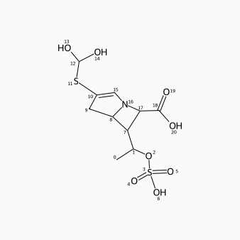 CC(OS(=O)(=O)O)C1C2CC(SC(O)O)=CN2C1C(=O)O